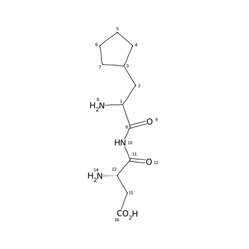 NC(CC1CCCC1)C(=O)NC(=O)[C@@H](N)CC(=O)O